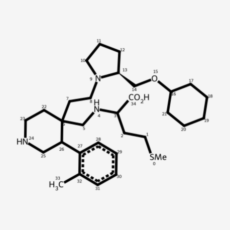 CSCCC(NCC1(CCN2CCC[C@H]2COC2CCCCC2)CCNCC1c1ccccc1C)C(=O)O